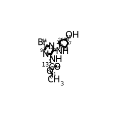 CCO[13C](=O)CNc1ncc(Br)nc1N[C@H]1CC[C@H](O)CC1